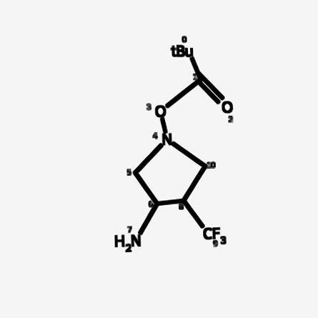 CC(C)(C)C(=O)ON1CC(N)C(C(F)(F)F)C1